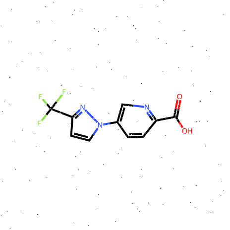 O=C(O)c1ccc(-n2ccc(C(F)(F)F)n2)cn1